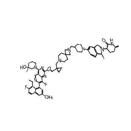 C=C1CCC(N2Cc3cc(N4CCC(CN5CC6(CCN(CC7(COc8nc(N9CCC[C@@](C)(O)C9)c9cnc(-c%10cc(O)cc%11ccc(F)c(CC)c%10%11)c(F)c9n8)CC7)CC6)C5)CC4)ccc3C2C)C(=O)N1